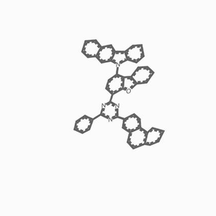 c1ccc(-c2nc(-c3ccc4c(ccc5ccccc54)c3)nc(-c3ccc(-n4c5ccccc5c5cc6ccccc6cc54)c4c3oc3ccccc34)n2)cc1